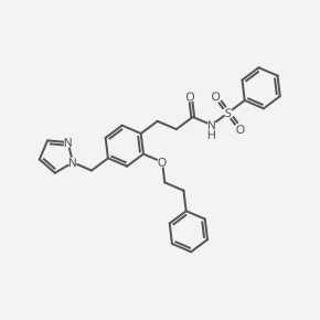 O=C(CCc1ccc(Cn2cccn2)cc1OCCc1ccccc1)NS(=O)(=O)c1ccccc1